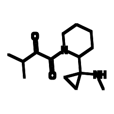 CNC1(C2CCCCN2C(=O)C(=O)C(C)C)CC1